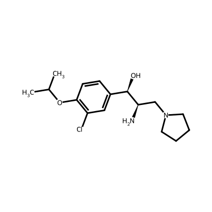 CC(C)Oc1ccc([C@@H](O)[C@H](N)CN2CCCC2)cc1Cl